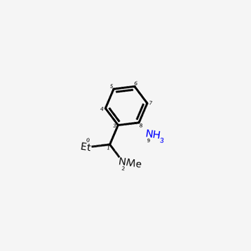 CCC(NC)c1ccccc1.N